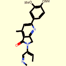 C/C=C(\C=N/C)N1Cc2nc(-c3ccc(OC)c(OC)c3)cc(C)c2C1=O